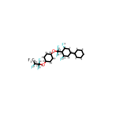 FC1CC(C2CCCCC2)CC(F)C1C(F)(F)OC1CCC(OC(F)(F)C(F)C(F)(F)F)CC1